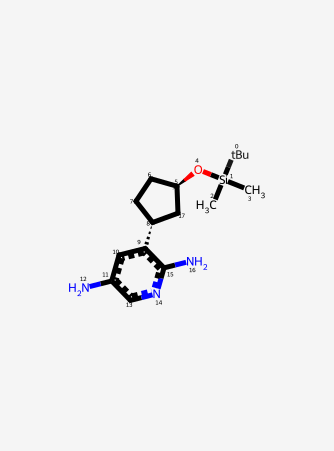 CC(C)(C)[Si](C)(C)O[C@@H]1CC[C@@H](c2cc(N)cnc2N)C1